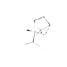 CC(N)[C@H]1CC2CC1[C@H]2C